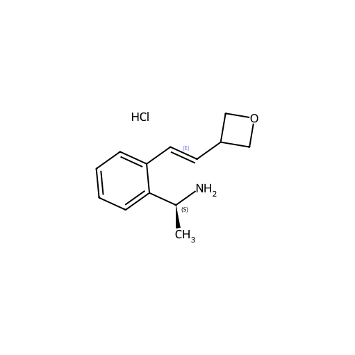 C[C@H](N)c1ccccc1/C=C/C1COC1.Cl